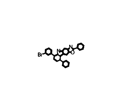 Brc1cccc(C2=C3N=c4cc5nc(-c6ccccc6)oc5cc4=C3C(c3ccccc3)C=C2)c1